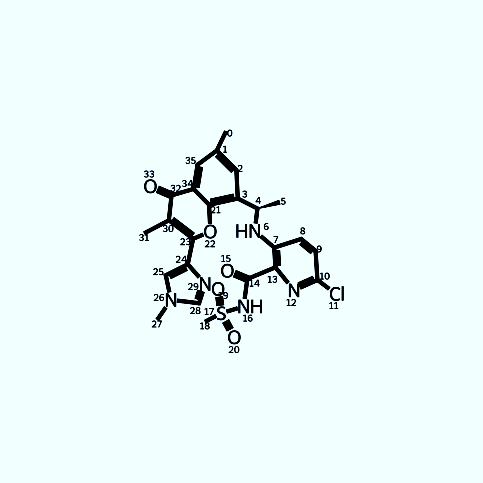 Cc1cc([C@@H](C)Nc2ccc(Cl)nc2C(=O)NS(C)(=O)=O)c2oc(-c3cn(C)cn3)c(C)c(=O)c2c1